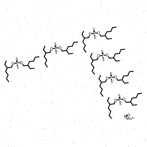 CCCCC(CC)COP(=S)([S-])OCC(CC)CCCC.CCCCC(CC)COP(=S)([S-])OCC(CC)CCCC.CCCCC(CC)COP(=S)([S-])OCC(CC)CCCC.CCCCC(CC)COP(=S)([S-])OCC(CC)CCCC.CCCCC(CC)COP(=S)([S-])OCC(CC)CCCC.CCCCC(CC)COP(=S)([S-])OCC(CC)CCCC.O=S.[Mo+6]